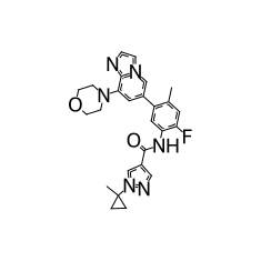 Cc1cc(F)c(NC(=O)c2cnn(C3(C)CC3)c2)cc1-c1cc(N2CCOCC2)c2nccn2c1